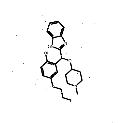 CN1CCC(OC(c2nc3ccccc3[nH]2)c2cc(SCCF)ccc2O)CC1